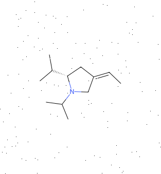 C/C=C1/C[C@@H](C(C)C)N(C(C)C)C1